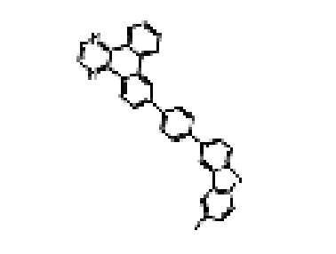 Cc1ccc2sc3ccc(-c4ccc(-c5ccc6c(c5)c5ccccc5c5nccnc65)cc4)cc3c2c1